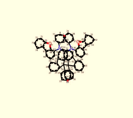 c1ccc(N(c2ccc3c(c2)C(c2ccccc2)(C2(c4ccccc4)c4ccccc4-c4ccc(N(c5ccccc5)c5cccc6c5oc5ccccc56)cc42)c2ccccc2-3)c2cccc3c2oc2ccccc23)cc1